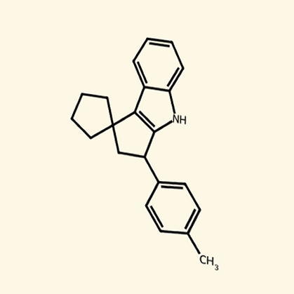 Cc1ccc(C2CC3(CCCC3)c3c2[nH]c2ccccc32)cc1